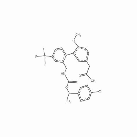 COc1ccc(CC(=O)O)cc1-c1ccc(C(F)(F)F)cc1CNC(=O)OC(C)c1ccc(Cl)cc1